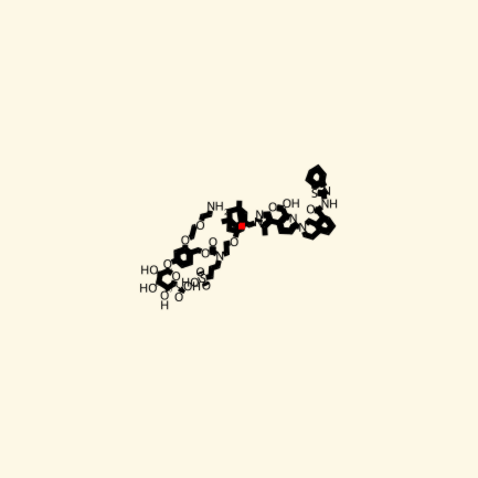 Cc1c(-c2ccc(N3CCc4cccc(C(=O)Nc5nc6ccccc6s5)c4C3)nc2C(=O)O)cnn1CC12CC3(C)CC(C)(C1)CC(OCCN(CCCS(=O)(=O)O)C(=O)OCc1ccc(O[C@@H]4O[C@H](C(=O)O)[C@@H](O)[C@H](O)[C@H]4O)cc1OCCOCCN)(C3)C2